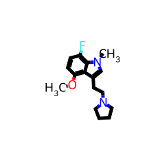 COc1ccc(F)c2c1c(CCN1CCCC1)cn2C